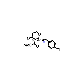 COC(=O)[C@H]1C(=O)CCO[C@@H]1/C=C/c1ccc(Cl)cc1